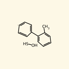 Cc1ccccc1-c1cc[c]cc1.OS